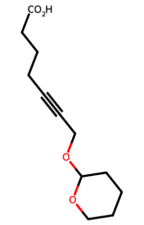 O=C(O)CCCC#CCOC1CCCCO1